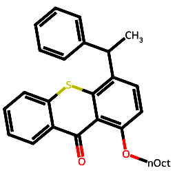 CCCCCCCCOc1ccc(C(C)c2ccccc2)c2sc3ccccc3c(=O)c12